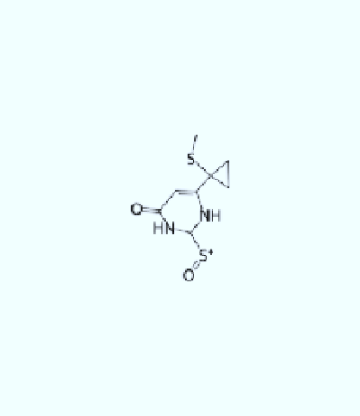 CSC1(C2=CC(=O)NC([S+]=O)N2)CC1